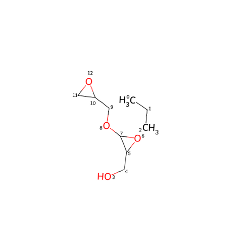 CCC.OCC1OC1OCC1CO1